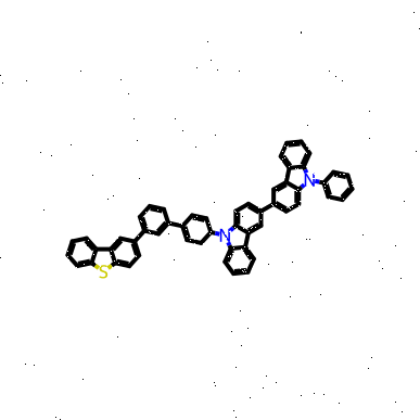 C1=CC(n2c3ccccc3c3cc(-c4ccc5c(c4)c4ccccc4n5-c4ccccc4)ccc32)CC=C1c1cccc(-c2ccc3sc4ccccc4c3c2)c1